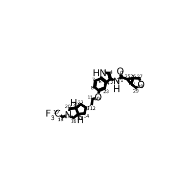 O=C(Nc1c[nH]c2ccc(OCC[C@@H]3C[C@@H]4CN(CC(F)(F)F)C[C@@H]4C3)cc12)C1C2COCC21